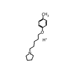 Cc1ccc(OCCCCCN2CCCC2)cc1.[H+]